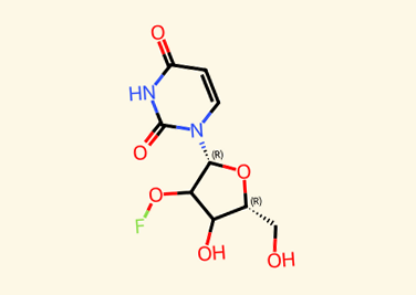 O=c1ccn([C@@H]2O[C@H](CO)C(O)C2OF)c(=O)[nH]1